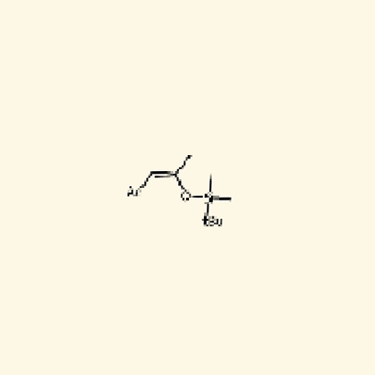 CC(=O)C=C(C)O[Si](C)(C)C(C)(C)C